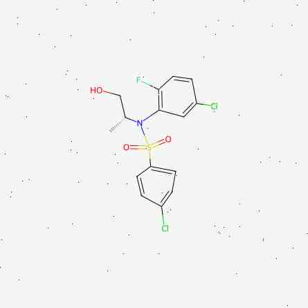 C[C@H](CO)N(c1cc(Cl)ccc1F)S(=O)(=O)c1ccc(Cl)cc1